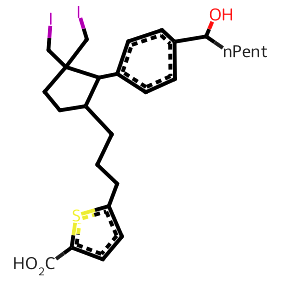 CCCCCC(O)c1ccc(C2C(CCCc3ccc(C(=O)O)s3)CCC2(CI)CI)cc1